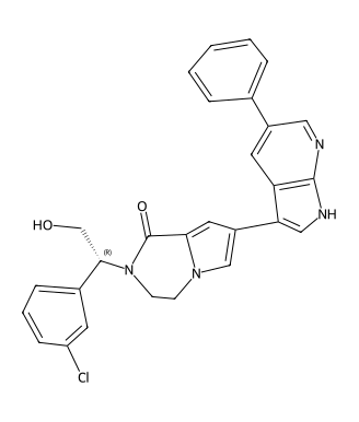 O=C1c2cc(-c3c[nH]c4ncc(-c5ccccc5)cc34)cn2CCN1[C@@H](CO)c1cccc(Cl)c1